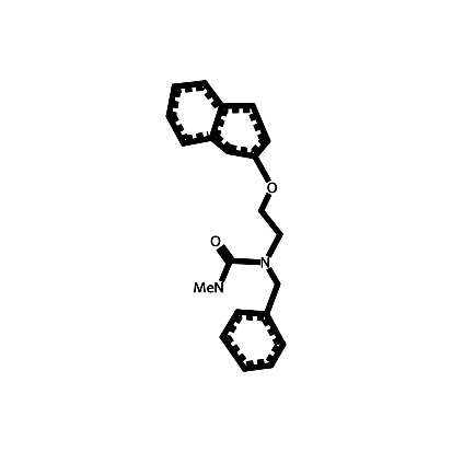 CNC(=O)N(CCOc1ccc2ccccc2c1)Cc1ccccc1